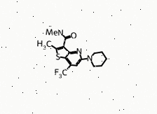 CNC(=O)c1c(C)sc2c(C(F)(F)F)cc(N3CC[CH]CC3)nc12